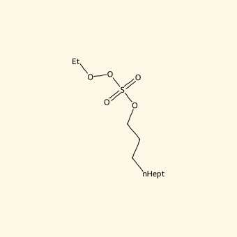 CCCCCCCCCCOS(=O)(=O)OOCC